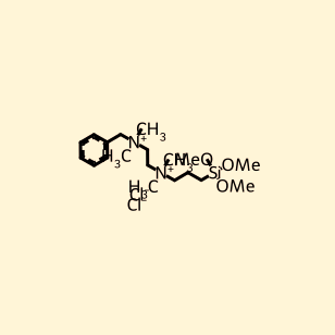 CO[Si](CCC[N+](C)(C)CC[N+](C)(C)Cc1ccccc1)(OC)OC.[Cl-].[Cl-]